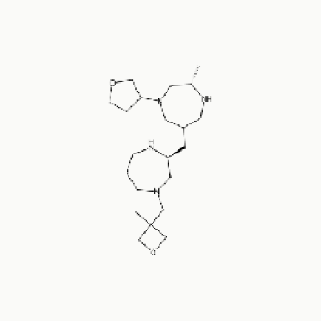 C[C@H]1CN(C2CCOC2)CC(C[C@H]2CN(CC3(C)COC3)CCCN2)CN1